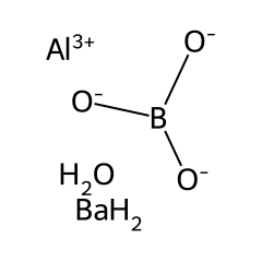 O.[Al+3].[BaH2].[O-]B([O-])[O-]